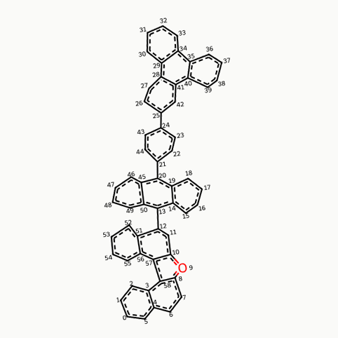 c1ccc2c(c1)ccc1oc3cc(-c4c5ccccc5c(-c5ccc(-c6ccc7c8ccccc8c8ccccc8c7c6)cc5)c5ccccc45)c4ccccc4c3c12